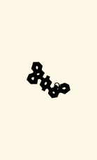 Cc1cc(-c2cccc3c2oc2ccccc23)c(C)cc1-c1cc2ccccc2c2ccccc12